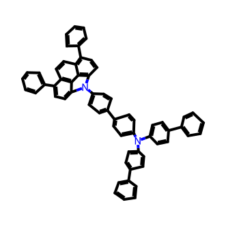 c1ccc(-c2ccc(N(c3ccc(-c4ccccc4)cc3)c3ccc(-c4ccc(-n5c6ccc(-c7ccccc7)c7ccc8c(-c9ccccc9)ccc5c8c76)cc4)cc3)cc2)cc1